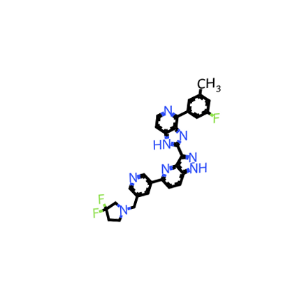 Cc1cc(F)cc(-c2nccc3[nH]c(-c4n[nH]c5ccc(-c6cncc(CN7CCC(F)(F)C7)c6)nc45)nc23)c1